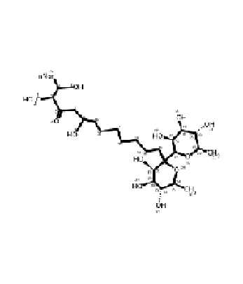 CCCCCCCCCC(O)C(C(=O)O)C(=O)CC(O)CCCCCCCC1(C2O[C@H](C)[C@@H](O)[C@H](O)[C@@H]2O)O[C@@H](C)[C@H](O)[C@@H](O)[C@H]1O